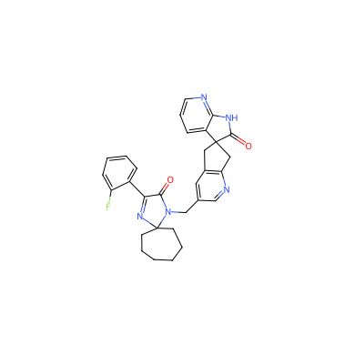 O=C1C(c2ccccc2F)=NC2(CCCCCC2)N1Cc1cnc2c(c1)CC1(C2)C(=O)Nc2ncccc21